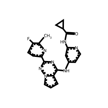 Cc1nc(-c2nc(Nc3ccnc(NC(=O)C4CC4)c3)c3cccn3n2)ccc1F